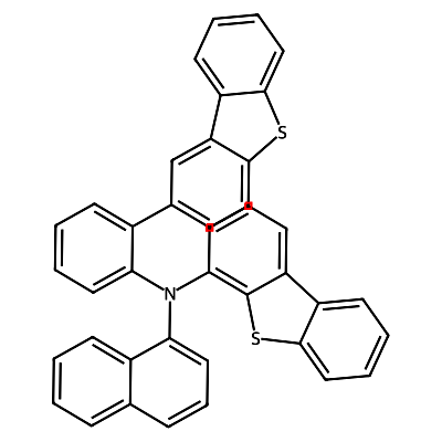 c1ccc(N(c2cccc3ccccc23)c2cccc3c2sc2ccccc23)c(-c2ccc3sc4ccccc4c3c2)c1